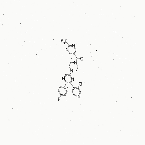 O=C(c1cnc(C(F)(F)F)nc1)N1CCN(c2cnc(-c3ccc(F)cc3)c(-c3ccncc3Cl)n2)CC1